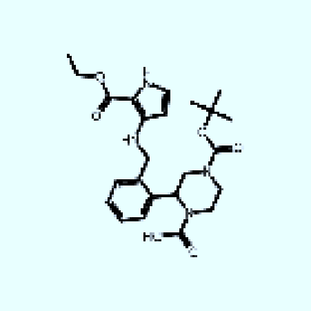 CCOC(=O)c1[nH]ccc1NCc1ccccc1C1CN(C(=O)OC(C)(C)C)CCN1C(=O)O